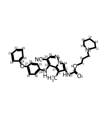 Cc1c(NC(=O)OCCCN2CCCCC2)cn2ncc(C#N)c(Nc3ccc(Oc4ccccc4)cc3)c12